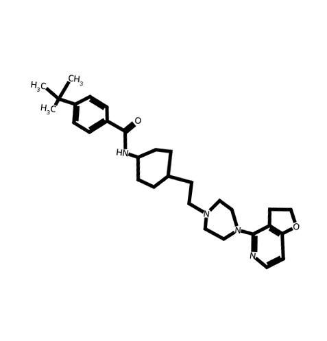 CC(C)(C)c1ccc(C(=O)NC2CCC(CCN3CCN(c4nccc5c4CCO5)CC3)CC2)cc1